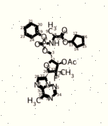 CC(=O)O[C@@H]1[C@@H](COP(=O)(N[C@@H](C)C(=O)OC2CCCC2)Oc2ccccc2)O[C@@H](c2cnc3c(C)ncnn23)[C@]1(C)F